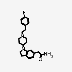 NC(=O)Cc1ccc2c(c1)N(C1CCN(CCc3ccc(F)cc3)CC1)CC2